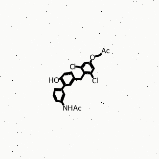 CC(=O)COc1cc(Cl)c(Cc2ccc(O)c(-c3cccc(NC(C)=O)c3)c2)c(Cl)c1